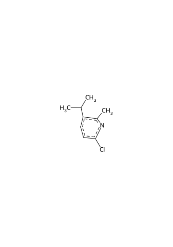 Cc1nc(Cl)ccc1C(C)C